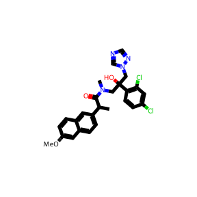 COc1ccc2cc(C(C)C(=O)N(C)CC(O)(Cn3cncn3)c3ccc(Cl)cc3Cl)ccc2c1